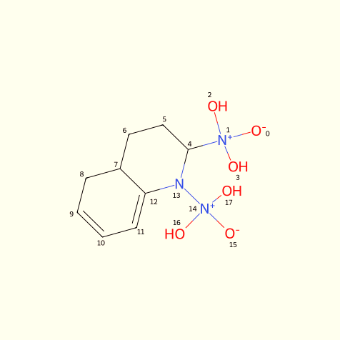 [O-][N+](O)(O)C1CCC2CC=CC=C2N1[N+]([O-])(O)O